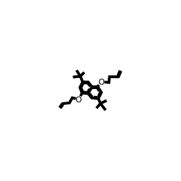 C=CCCOc1cc(C(C)(C)C)cc2c(OCCC=C)cc(C(C)(C)C)cc12